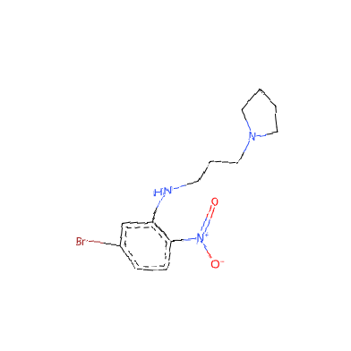 O=[N+]([O-])c1ccc(Br)cc1NCCCN1CCCC1